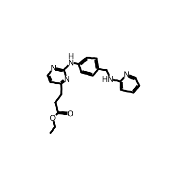 CCOC(=O)CCc1ccnc(Nc2ccc(CNc3ccccn3)cc2)n1